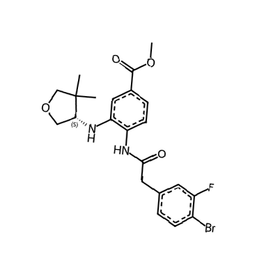 COC(=O)c1ccc(NC(=O)Cc2ccc(Br)c(F)c2)c(N[C@@H]2COCC2(C)C)c1